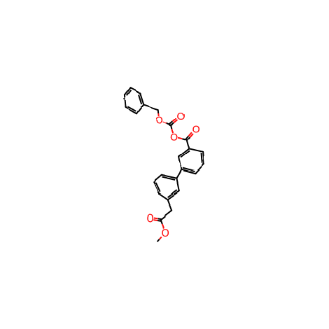 COC(=O)Cc1cccc(-c2cccc(C(=O)OC(=O)OCc3ccccc3)c2)c1